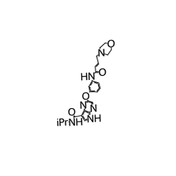 CC(C)NC(=O)c1c[nH]c2ncc(Oc3cccc(NC(=O)/C=C/CN4CCOCC4)c3)nc12